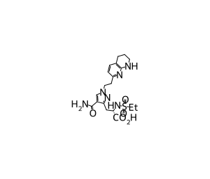 CCS(=O)(=O)N[C@@H](Cc1nn(CCc2ccc3c(n2)NCCC3)cc1C(N)=O)C(=O)O